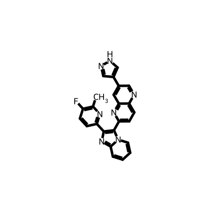 Cc1nc(-c2nc3ccccn3c2-c2ccc3ncc(-c4cn[nH]c4)cc3n2)ccc1F